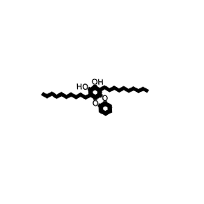 CCCCCCCCCCc1c(O)c(O)c(CCCCCCCCCC)c2c1Oc1ccccc1O2